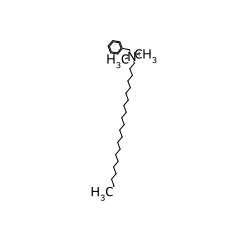 CCCCCCCCCCCCCCCCCCCCCC[N+](C)(C)Cc1ccccc1